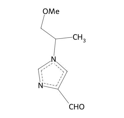 COCC(C)n1cnc(C=O)c1